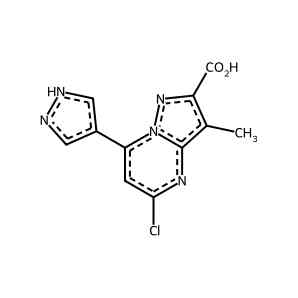 Cc1c(C(=O)O)nn2c(-c3cn[nH]c3)cc(Cl)nc12